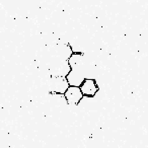 C[C@H](O)C(c1ccccc1Cl)[C@H](C)COC(N)=O